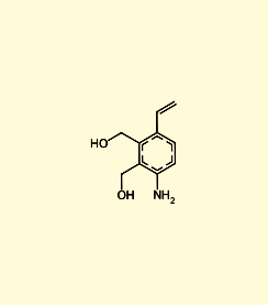 C=Cc1ccc(N)c(CO)c1CO